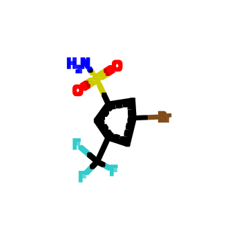 NS(=O)(=O)c1cc(Br)cc(C(F)(F)F)c1